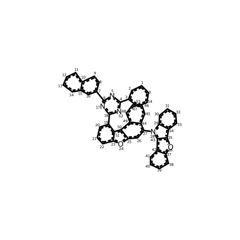 c1ccc(-c2nc(-c3ccc4ccccc4c3)nc(-c3cccc4oc5cc(-n6c7ccccc7c7oc8ccccc8c76)c6ccccc6c5c34)n2)cc1